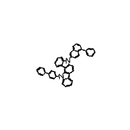 c1ccc(-c2ccc(-n3c4ccccc4c4ccc5c(c6ccccc6n5-c5ccc6c(-c7ccccc7)cccc6c5)c43)cc2)cc1